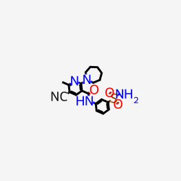 Cc1nc(N2CCCCCC2)c(C(=O)Nc2cccc(S(N)(=O)=O)c2)cc1C#N